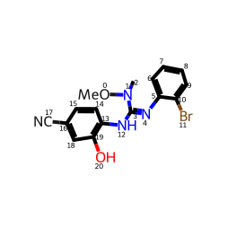 CON(C)C(=Nc1ccccc1Br)Nc1ccc(C#N)cc1O